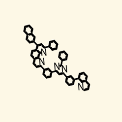 c1ccc(-c2cc(-c3ccc4ccccc4c3)c3ccc4ccc(-c5cccc(-c6cc(-c7cccc(-c8cccc9cccnc89)c7)nc(-c7ccccc7)n6)c5)nc4c3n2)cc1